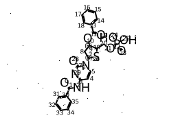 O=C(Nc1ccn([C@H]2C[C@@H](OC(=O)c3ccccc3)C(COP(=O)(O)O)S2)c(=O)n1)c1ccccc1